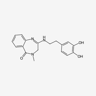 CN1CC(NCCc2ccc(O)c(O)c2)=Nc2ccccc2C1=O